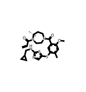 C=CC(=O)N1CCN(C(=O)c2cc(Sc3cnc(NCC4CC4)s3)c(C)cc2OC)CC[C@H]1C